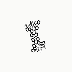 CC1(C)C2=C(CCC=C2)c2ccc(N(c3ccc4c(c3)C(C)(C)c3ccccc3-4)c3cccc4c3-c3ccccc3C43c4ccccc4-c4c(N(c5ccc6c(c5)C(C)(C)c5ccccc5-6)c5ccc6c(c5)C(C)(C)c5ccccc5-6)cccc43)cc21